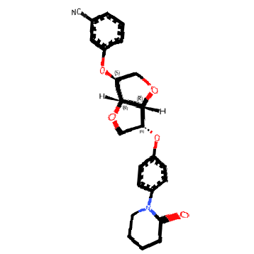 N#Cc1cccc(O[C@H]2CO[C@H]3[C@@H]2OC[C@H]3Oc2ccc(N3CCCCC3=O)cc2)c1